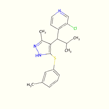 Cc1cccc(Sc2[nH]nc(C)c2C(c2ccncc2Cl)C(C)C)c1